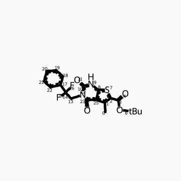 Cc1c(C(=O)OC(C)(C)C)sc2[nH]c(=O)n(CC(F)(F)c3ccccc3)c(=O)c12